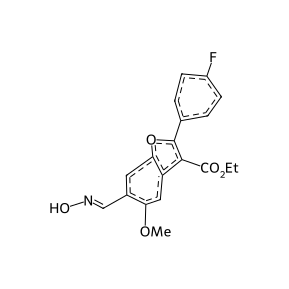 CCOC(=O)c1c(-c2ccc(F)cc2)oc2cc(C=NO)c(OC)cc12